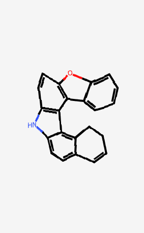 C1=Cc2ccc3[nH]c4ccc5oc6ccccc6c5c4c3c2CC1